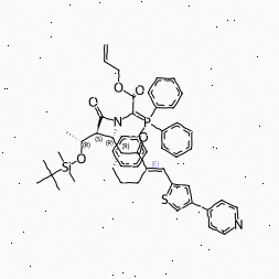 C=CCOC(=O)C(N1C(=O)[C@H]([C@@H](C)O[Si](C)(C)C(C)(C)C)[C@H]1[C@H]1CCC/C(=C\c2cc(-c3ccncc3)cs2)C1=O)=P(c1ccccc1)(c1ccccc1)c1ccccc1